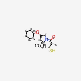 CC(CS)C(=O)N1C[C@@H](OC2CCCCC2)C[C@H]1C(=O)O